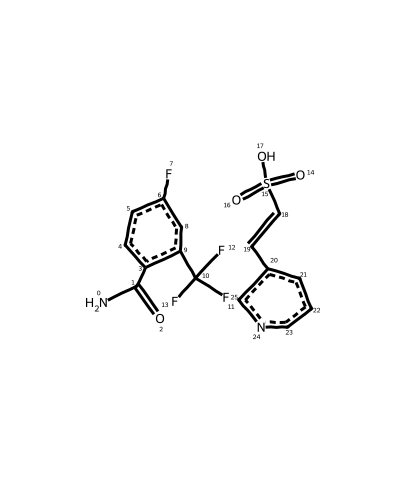 NC(=O)c1ccc(F)cc1C(F)(F)F.O=S(=O)(O)/C=C/c1cccnc1